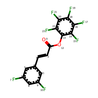 O=C(C=Cc1cc(F)cc(F)c1)Oc1c(F)c(F)c(F)c(F)c1F